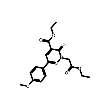 CCOC(=O)Cn1nc(-c2ccc(OC)cc2)cc(C(=O)OCC)c1=O